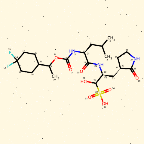 CC(C)C[C@H](NC(=O)OC(C)C1CCC(F)(F)CC1)C(=O)N[C@@H](C[C@@H]1CCNC1=O)C(O)S(=O)(=O)O